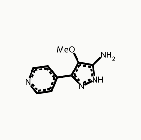 COc1c(-c2ccncc2)n[nH]c1N